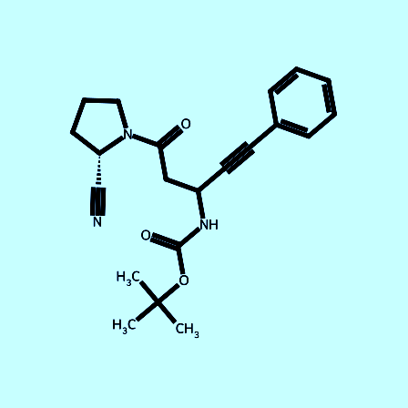 CC(C)(C)OC(=O)NC(C#Cc1ccccc1)CC(=O)N1CCC[C@H]1C#N